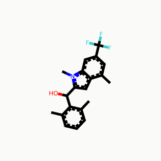 Cc1[c]ccc(C)c1C(O)c1cc2c(C)cc(C(F)(F)F)cc2n1C